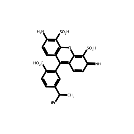 CC(C)C(C)c1ccc(C(=O)O)c(-c2c3ccc(=N)c(S(=O)(=O)O)c-3oc3c(S(=O)(=O)O)c(N)ccc23)c1